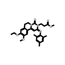 CCOc1cc2c(cc1OC)-c1c/c(=N\c3c(C)cc(C)cc3C)n(CCC(=O)OC)c(=O)n1CC2